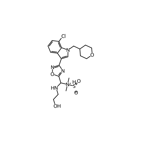 C[N+](C)(C(NCCO)c1nc(-c2cn(CC3CCOCC3)c3c(Cl)cccc23)no1)[SH](=O)=O